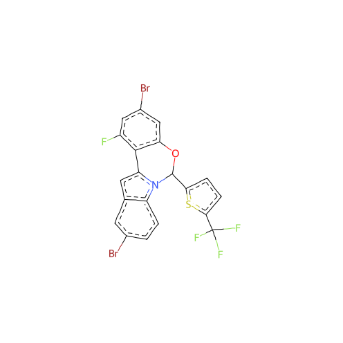 Fc1cc(Br)cc2c1-c1cc3cc(Br)ccc3n1C(c1ccc(C(F)(F)F)s1)O2